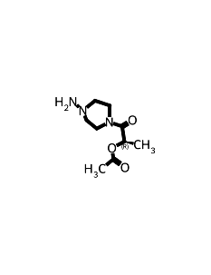 CC(=O)O[C@H](C)C(=O)N1CCN(N)CC1